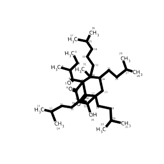 CCC(C)C(=O)C12C(=O)C(CCC(C)C)=C(O)C(CCC(C)C)(CC(CCC(C)C)C1(C)CCCC(C)C)C2=O